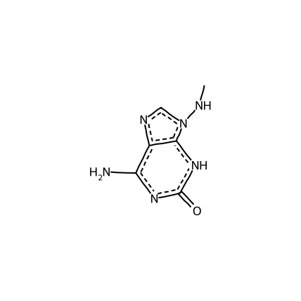 CNn1cnc2c(N)nc(=O)[nH]c21